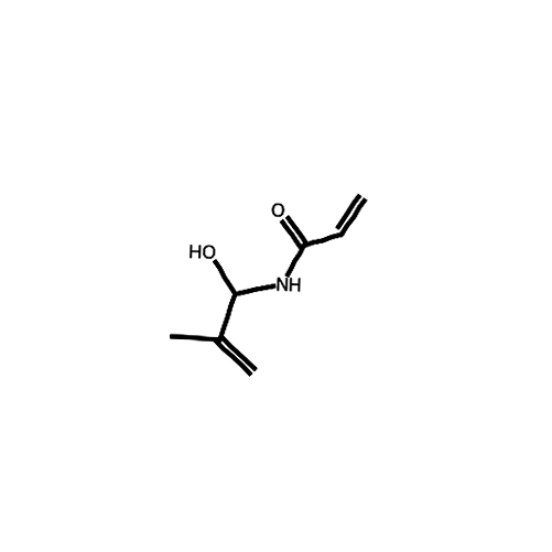 C=CC(=O)NC(O)C(=C)C